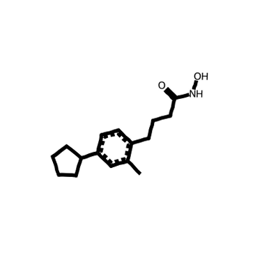 Cc1cc(C2CCCC2)ccc1CCCC(=O)NO